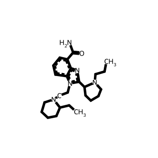 CCCN1CCCCC1c1nc2c(C(N)=O)cccc2n1CCN1CCCCC1CC